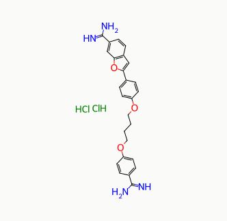 Cl.Cl.N=C(N)c1ccc(OCCCCOc2ccc(-c3cc4ccc(C(=N)N)cc4o3)cc2)cc1